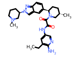 CCc1cc(NC(=O)C(=O)N2C[C@@H](C)CC[C@@H]2c2ccc3nn([C@@H]4CCCN(C)C4)cc3c2)cnc1N